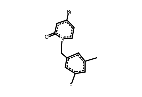 Cc1cc(F)cc(Cn2ccc(Br)cc2=O)c1